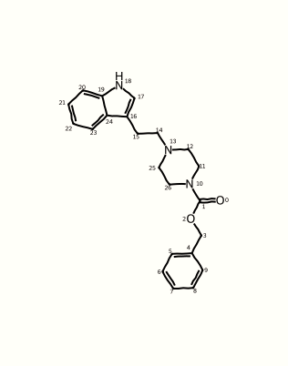 O=C(OCc1ccccc1)N1CCN(CCc2c[nH]c3ccccc23)CC1